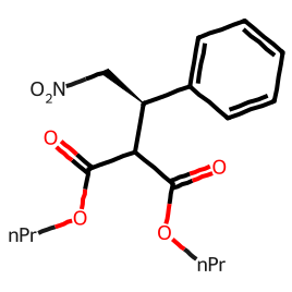 CCCOC(=O)C(C(=O)OCCC)[C@@H](C[N+](=O)[O-])c1ccccc1